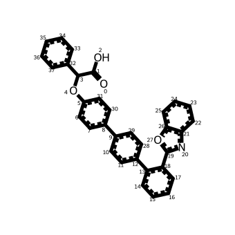 O=C(O)C(Oc1ccc(-c2ccc(-c3ccccc3-c3nc4ccccc4o3)cc2)cc1)c1ccccc1